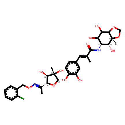 C/C(=C\c1ccc(O[C@@H]2O[C@H](/C(C)=N/OCc3ccccc3F)[C@@H](O)[C@]2(C)O)c(O)c1)C(=O)N[C@@H]1C(O)C(O)C2OCO[C@H]2[C@@H]1O